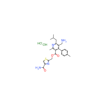 Cc1ccc(-c2c(CN)c(CC(C)C)nc(C)c2C(=O)OCc2nc(C(N)=O)cs2)cc1.Cl.Cl